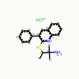 CC(Sc1nc2ccccc2cc1-c1ccccc1)C(C)(C)N.Cl